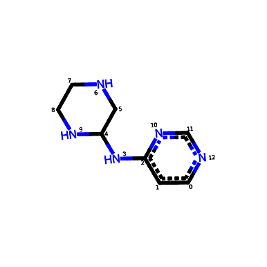 c1cc(NC2CNCCN2)ncn1